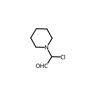 O=CC(Cl)N1CCCCC1